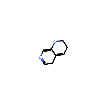 C1=NC=C2[N]CCC=C2C1